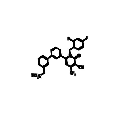 N#Cc1c(C(F)(F)F)cc(-c2cccc(-c3cccc(CC(=O)O)c3)c2)n(Cc2ccc(F)cc2F)c1=O